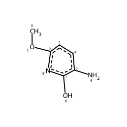 COc1ccc(N)c(O)n1